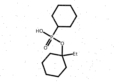 CCC1(OP(=O)(O)C2CCCCC2)CCCCC1